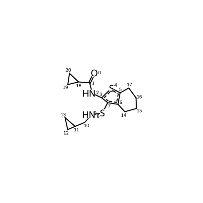 O=C(Nc1sc2c(c1SNCC1CC1)CCCC2)C1CC1